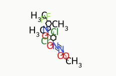 CCOC(=O)CN1CCN(C(=O)c2ccc(Cl)c(C(=O)c3cc4c(C)cc(C(C)(F)F)cc4n3C)c2Cl)CC1